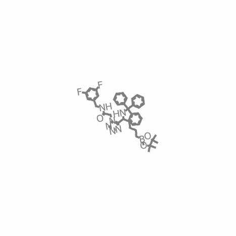 CC1(C)OB(CCCCC(NC(c2ccccc2)(c2ccccc2)c2ccccc2)c2nnnn2CC(=O)NCc2cc(F)cc(F)c2)OC1(C)C